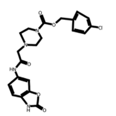 O=C(CN1CCN(C(=O)OCc2ccc(Cl)cc2)CC1)Nc1ccc2[nH]c(=O)oc2c1